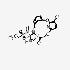 CCS(=O)(=O)N[C@H]1[C@@H](F)CN2C(=O)COc3ccc(Cl)c(n3)Oc3cccc(c3F)C[C@@H]12